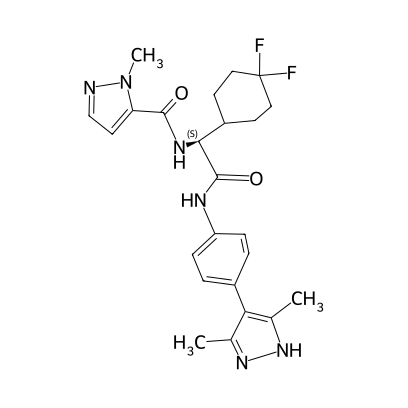 Cc1n[nH]c(C)c1-c1ccc(NC(=O)[C@@H](NC(=O)c2ccnn2C)C2CCC(F)(F)CC2)cc1